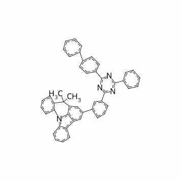 CC1(C)c2ccccc2-n2c3ccccc3c3cc(-c4cccc(-c5nc(-c6ccccc6)nc(-c6ccc(-c7ccccc7)cc6)n5)c4)cc1c32